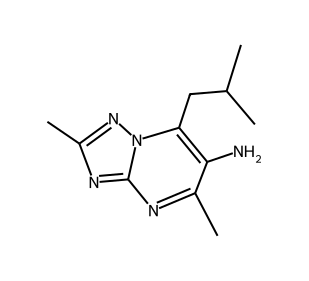 Cc1nc2nc(C)c(N)c(CC(C)C)n2n1